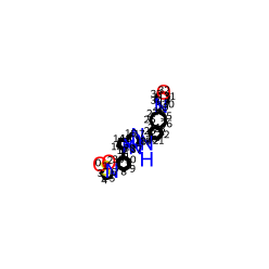 O=S1(=O)CCCN1c1cccc(-c2ccc3cnc(Nc4ccc5c(c4)CCC(N4CCOCC4)CC5)nn23)c1